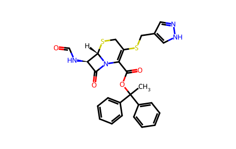 CC(OC(=O)C1=C(SCc2cn[nH]c2)CS[C@H]2[C@H](NC=O)C(=O)N12)(c1ccccc1)c1ccccc1